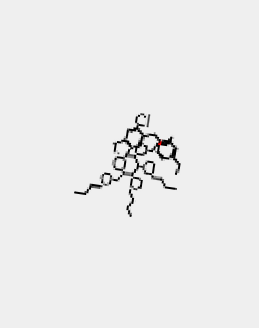 CCCCOC[C@H]1O[C@]2(CCc3cc(Cl)c(Cc4ccc(CC)cc4)cc32)[C@H](OCCCC)[C@@H](OCCCC)[C@@H]1OCCCC